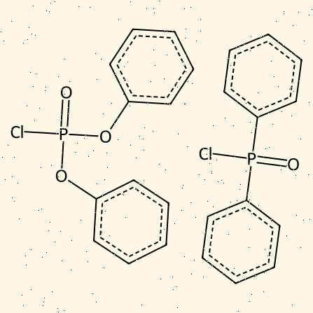 O=P(Cl)(Oc1ccccc1)Oc1ccccc1.O=P(Cl)(c1ccccc1)c1ccccc1